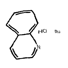 Cl.[Ru].c1ccc2ncccc2c1